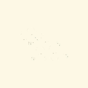 N#Cc1ccc2c(c1)-c1c(C#N)cc3c(=O)n4c5cccc6cccc(nc4c4cc(C#N)c(c1c34)S2)c65